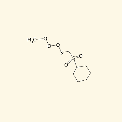 COOOSCS(=O)(=O)C1CCCCC1